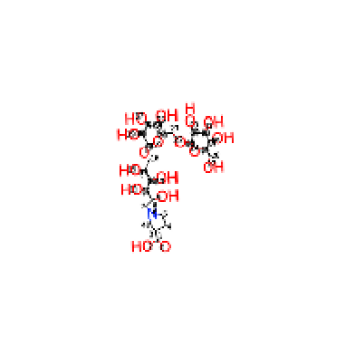 O=C(O)C1CCN(CC(O)[C@@H](O)[C@H](O)[C@H](O)CO[C@@H]2O[C@H](CO[C@@H]3O[C@H](CO)[C@@H](O)[C@H](O)[C@H]3O)[C@@H](O)[C@H](O)[C@H]2O)C1